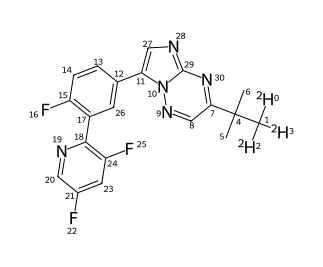 [2H]C([2H])([2H])C(C)(C)c1cnn2c(-c3ccc(F)c(-c4ncc(F)cc4F)c3)cnc2n1